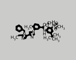 CCc1ncc(-c2cn(-c3cc(C(=O)Nc4cc(C(C)(C)C)cc(NS(C)(=O)=O)c4OC)ccc3C)cn2)n1Cc1ccccc1